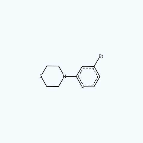 CCc1ccnc(N2CCSCC2)c1